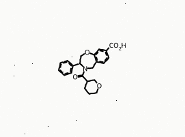 O=C(O)c1ccc2c(c1)OCC(c1ccccc1)N(C(=O)C1CCCOC1)C2